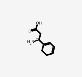 N[C@@H](CC(=O)O)C1=CC=CCC1